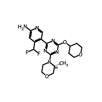 C[C@@H]1COCCN1c1nc(OC2CCOCC2)nc(-c2cnc(N)cc2C(F)F)n1